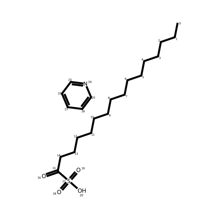 CCCCCCCCCCCCCCCC(=O)S(=O)(=O)O.c1ccncc1